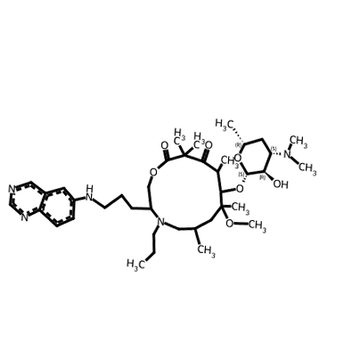 CCCN1CC(C)CC(C)(OC)C(O[C@@H]2O[C@H](C)C[C@H](N(C)C)[C@H]2O)C(C)C(=O)C(C)(C)C(=O)OCC1CCCNc1ccc2ncncc2c1